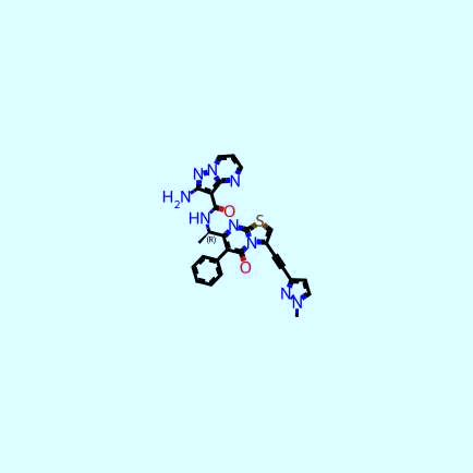 C[C@@H](NC(=O)c1c(N)nn2cccnc12)c1nc2scc(C#Cc3ccn(C)n3)n2c(=O)c1-c1ccccc1